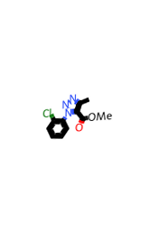 COC(=O)c1c(C)nnn1-c1ccccc1Cl